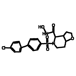 O=C(NO)C1C2CCOC2CCN1S(=O)(=O)c1ccc(-c2ccc(Cl)cc2)cc1